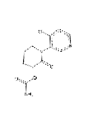 NC(=O)OC1CCCN(c2cnccc2Cl)C1=O